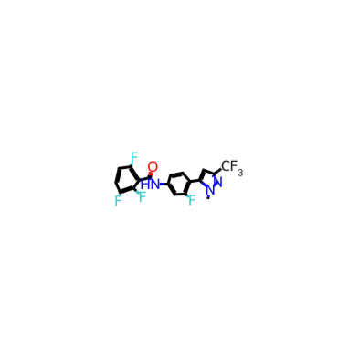 Cn1nc(C(F)(F)F)cc1-c1ccc(NC(=O)c2c(F)ccc(F)c2F)cc1F